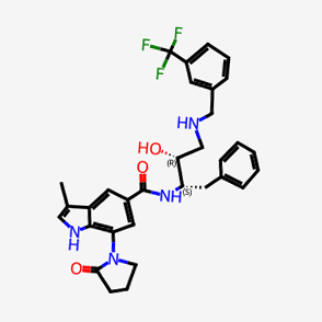 Cc1c[nH]c2c(N3CCCC3=O)cc(C(=O)N[C@@H](Cc3ccccc3)[C@H](O)CNCc3cccc(C(F)(F)F)c3)cc12